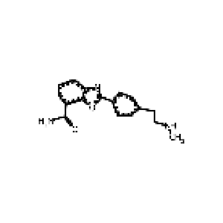 CNCCc1ccc(-c2nc3cccc(C(N)=O)c3o2)cc1